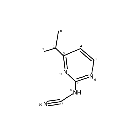 CC(C)c1ccnc(NC#N)n1